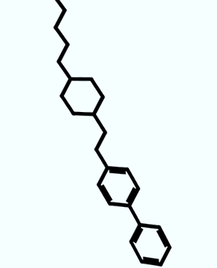 CCCCCC1CCC(CCc2ccc(-c3ccccc3)cc2)CC1